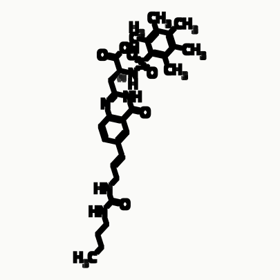 CCCCNC(=O)NCC=Cc1ccc2nc(C[C@H](NS(=O)(=O)c3c(C)c(C)c(C)c(C)c3C)C(=O)O)[nH]c(=O)c2c1